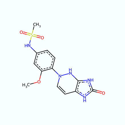 COc1cc(NS(C)(=O)=O)ccc1N1C=Cc2[nH]c(=O)[nH]c2N1